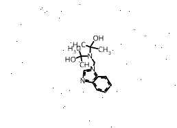 CC(C)(O)N(Cn1cnc2ccccc21)C(C)(C)O